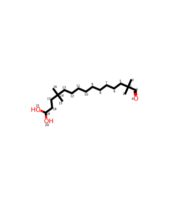 CC(C)(C=O)CCCCCCCCCC(C)(C)CCC(O)O